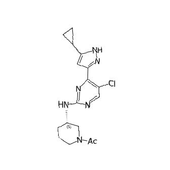 CC(=O)N1CCC[C@H](Nc2ncc(Cl)c(-c3cc(C4CC4)[nH]n3)n2)C1